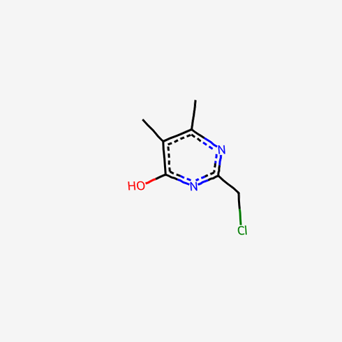 Cc1nc(CCl)nc(O)c1C